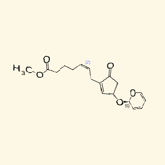 COC(=O)CCC/C=C\CC1=CC(O[C@@H]2C=CC=CO2)CC1=O